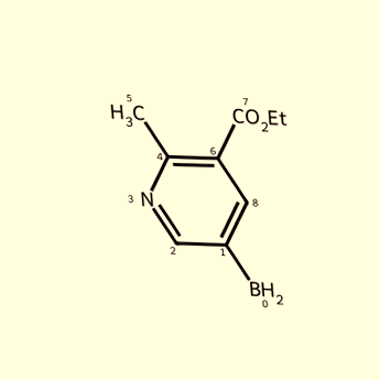 Bc1cnc(C)c(C(=O)OCC)c1